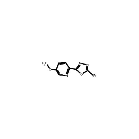 CC(C)c1nnc(-c2ccc(OC(F)(F)F)cn2)o1